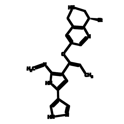 C=Nc1[nH]c(-c2cn[nH]c2)cc1/C(=C\C)Oc1cnc2c(c1)CNC[C@@H]2CC